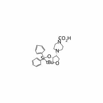 CC(C)(C)[Si](O[C@H]1COC[C@H]1N1CCN(C(=O)O)CC1)(c1ccccc1)c1ccccc1